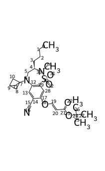 CCCC[C@@H]1CN(C23CC(C2)C3)c2cc(C#N)c(O/C=C/C(=O)OC(C)(C)C)cc2S(=O)(=O)N1C